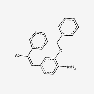 CC(=O)C(=Cc1ccc([AsH2])c(OCc2ccccc2)c1)c1ccccc1